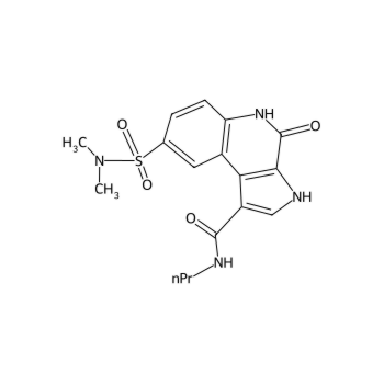 CCCNC(=O)c1c[nH]c2c(=O)[nH]c3ccc(S(=O)(=O)N(C)C)cc3c12